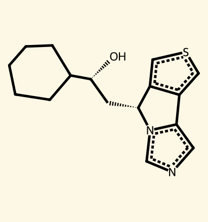 O[C@H](C[C@@H]1c2cscc2-c2cncn21)C1CCCCC1